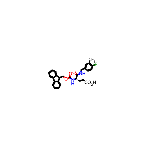 O=C(O)CC[C@H](NC(=O)OCC1c2ccccc2-c2ccccc21)C(=O)NCc1ccc(F)c(C(F)(F)F)c1